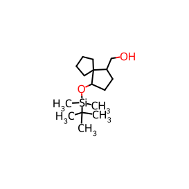 CC(C)(C)[Si](C)(C)OC1CCC(CO)C12CCCC2